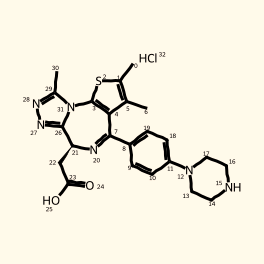 Cc1sc2c(c1C)C(c1ccc(N3CCNCC3)cc1)=N[C@@H](CC(=O)O)c1nnc(C)n1-2.Cl